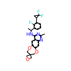 Cc1nc(NC(C)c2cccc(C3CC3(F)F)c2F)c2cc3c(cc2n1)OCC1(COC1)CO3